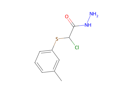 Cc1cccc(SC(Cl)C(=O)NN)c1